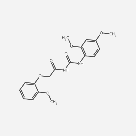 COc1ccc(NC(=O)NC(=O)COc2ccccc2OC)c(OC)c1